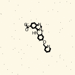 O=[N+]([O-])c1ccc2ncnc(Nc3ccc(OCc4ccccn4)cc3F)c2c1